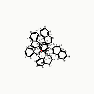 c1ccc(P(c2ccccc2)c2cccc3c2N(p2oc4ccc5ccccc5c4c4c(ccc5ccccc54)o2)[C@H](c2cccc4ccccc24)CC3)cc1